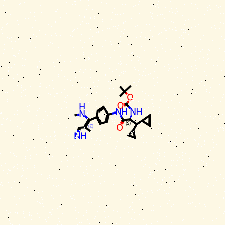 CN/C(=C(/C)C=N)c1ccc(NC(=O)[C@@H](NC(=O)OC(C)(C)C)C(C2CC2)C2CC2)cc1